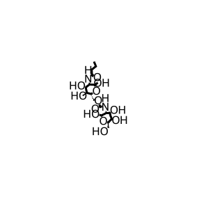 CCCC(=O)N[C@H]1C(O)O[C@H](COC(=O)N[C@H]2C(O)O[C@H](CO)[C@@H](O)[C@@H]2O)[C@@H](O)C1O